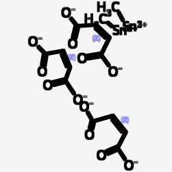 O=C([O-])/C=C\C(=O)[O-].O=C([O-])/C=C\C(=O)[O-].O=C([O-])/C=C\C(=O)[O-].[CH3][Sn+3].[CH3][Sn+3]